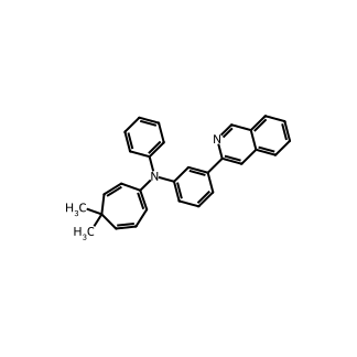 CC1(C)C=CC=C(N(c2ccccc2)c2cccc(-c3cc4ccccc4cn3)c2)C=C1